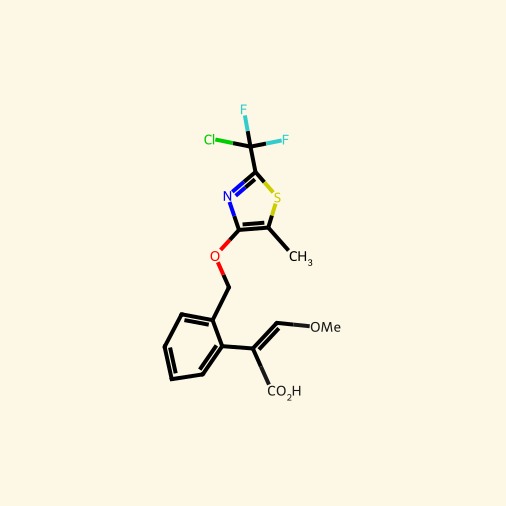 COC=C(C(=O)O)c1ccccc1COc1nc(C(F)(F)Cl)sc1C